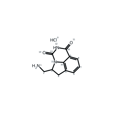 Cl.NCC1Cc2cccc3c(=O)[nH]c(=O)n1c23